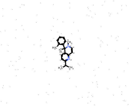 Cc1ccccc1C1(C)c2ccc(C(C)C)nc2C=CN1C